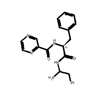 BC(CC(C)C)NC(=O)[C@H](Cc1ccccc1)NC(=O)c1cnccn1